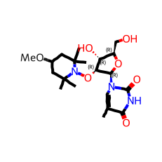 COC1CC(C)(C)N(O[C@@H]2[C@H](O)[C@@H](CO)O[C@H]2n2cc(C)c(=O)[nH]c2=O)C(C)(C)C1